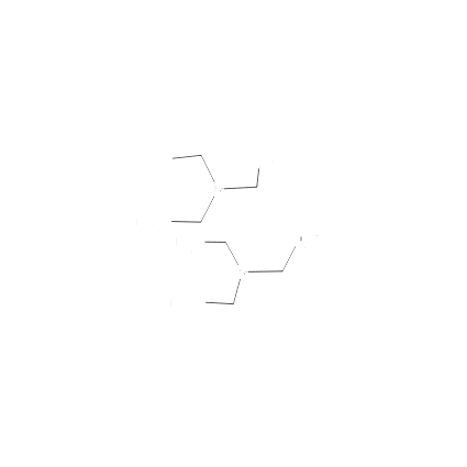 O=C(O)CN(CC(=O)O)CC(=O)O.O=C(O)CN(CC(=O)O)CC(=O)O.S